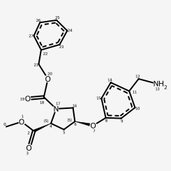 COC(=O)[C@@H]1C[C@H](Oc2ccc(CN)cc2)CN1C(=O)OCc1ccccc1